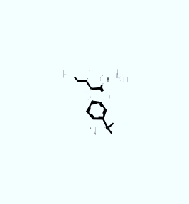 CC(C)C[C@@H](C(=O)O)C(Sc1ccc(C(C)(C)C#N)cc1)C(=O)OC(C)(C)C